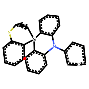 c1ccc(N2c3ccccc3[Si]3(c4ccccc4Sc4ccccc43)c3ccccc32)cc1